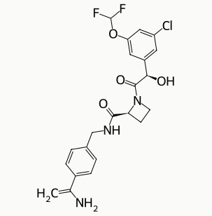 C=C(N)c1ccc(CNC(=O)[C@@H]2CCN2C(=O)[C@H](O)c2cc(Cl)cc(OC(F)F)c2)cc1